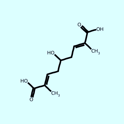 C/C(=C\CC(O)C/C=C(\C)C(=O)O)C(=O)O